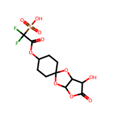 O=C1OC2OC3(CCC(OC(=O)C(F)(F)S(=O)(=O)O)CC3)OC2C1O